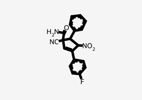 N#CC1(C(N)=O)C=C(c2ccc(F)cc2)C([N+](=O)[O-])C1c1ccccc1